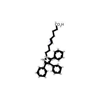 O=C(O)CCC/C=C/CCCn1nc(-c2ccccc2)c(-c2ccccc2)c1-c1ccccc1